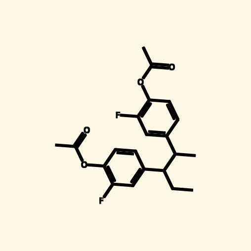 CCC(c1ccc(OC(C)=O)c(F)c1)C(C)c1ccc(OC(C)=O)c(F)c1